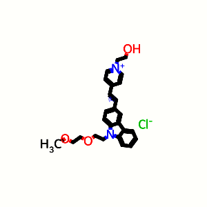 COCCOCCn1c2ccccc2c2cc(/C=C/c3cc[n+](CCO)cc3)ccc21.[Cl-]